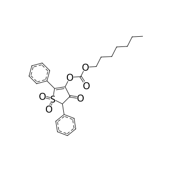 CCCCCCCOC(=O)OC1=C(c2ccccc2)S(=O)(=O)C(c2ccccc2)C1=O